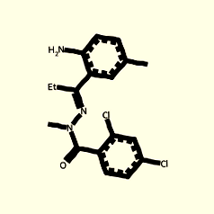 CC/C(=N\N(C)C(=O)c1ccc(Cl)cc1Cl)c1cc(C)ccc1N